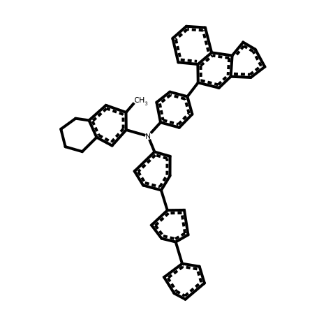 Cc1cc2c(cc1N(c1ccc(-c3ccc(-c4ccccc4)cc3)cc1)c1ccc(-c3cc4ccccc4c4ccccc34)cc1)CCCC2